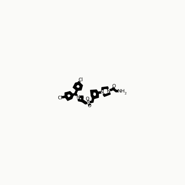 NCC(=O)N1CCN(c2cccc(CS(=O)(=O)C=C3CN(C(c4ccc(Cl)cc4)c4ccc(Cl)cc4)C3)c2)CC1